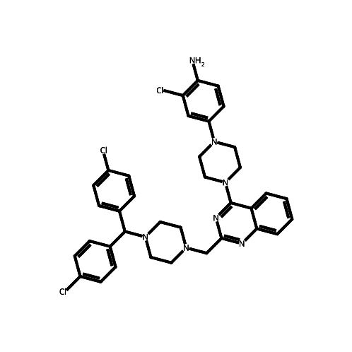 Nc1ccc(N2CCN(c3nc(CN4CCN(C(c5ccc(Cl)cc5)c5ccc(Cl)cc5)CC4)nc4ccccc34)CC2)cc1Cl